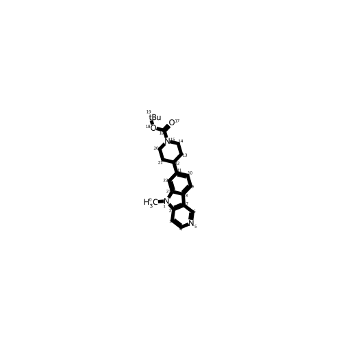 Cn1c2ccncc2c2ccc(C3CCN(C(=O)OC(C)(C)C)CC3)cc21